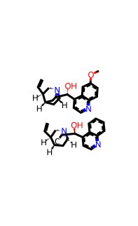 C=C[C@H]1C[N@]2CC[C@H]1C[C@@H]2[C@@H](O)c1ccnc2ccccc12.C=C[C@H]1C[N@]2CC[C@H]1C[C@H]2[C@H](O)c1ccnc2ccc(OC)cc12